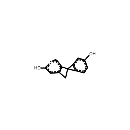 Oc1ccc2c(c1)CC21c2ccc(O)cc21